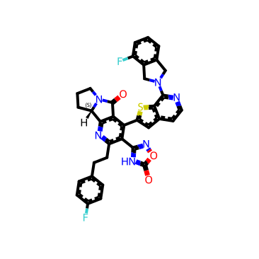 O=C1c2c(nc(CCc3ccc(F)cc3)c(-c3noc(=O)[nH]3)c2-c2cc3ccnc(N4Cc5cccc(F)c5C4)c3s2)[C@@H]2CCCN12